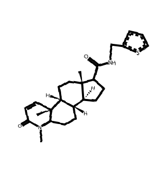 CN1C(=O)C=C[C@@]2(C)C1CC[C@@H]1[C@H]2CC[C@]2(C)C(C(=O)NCc3cccs3)CC[C@@H]12